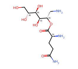 NC[C@H](OC(=O)[C@@H](N)CCC(N)=O)[C@@H](O)[C@H](O)[C@H](O)CO